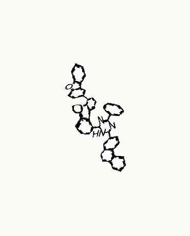 c1ccc(C2=NC(c3cccc4oc5c(-c6ccc7oc8ccccc8c7c6)cccc5c34)NC(c3ccc4c(ccc5ccccc54)c3)=N2)cc1